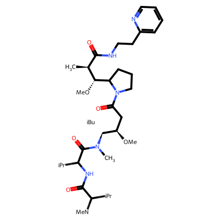 CC[C@H](C)[C@@H]([C@@H](CC(=O)N1CCCC1[C@H](OC)[C@@H](C)C(=O)NCCc1ccccn1)OC)N(C)C(=O)C(NC(=O)C(NC)C(C)C)C(C)C